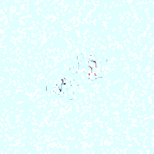 c1ccc(-c2cccc(-c3ccccc3N(c3cccc(-c4ccc5c(c4)C4(c6ccccc6-5)c5ccccc5-n5c6ccccc6c6cccc4c65)c3)c3ccc4c(c3)C(c3ccccc3)(c3ccccc3)c3ccccc3-4)c2)cc1